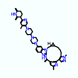 C=C1CCC(c2cc(C)c(N3CCC(N4CCN(c5ccc6c(c5)N5C[C@@H]7CC7CCCc7c(cnn7C)-c7cc(cc(C)n7)C(=C)/N=C/5N6)CC4)CC3)cn2)C(=C)N1